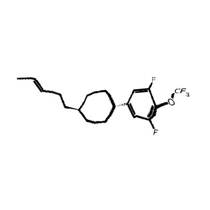 C/C=C/CC[C@H]1CC[C@H](c2cc(F)c(OC(F)(F)F)c(F)c2)CC1